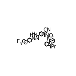 CC(C)c1ccccc1N1CCCS/C1=N\C(=O)NCC(C#N)c1ccc(C(=N)/N=C\Nc2ccc(OC(F)(F)F)cc2)cc1